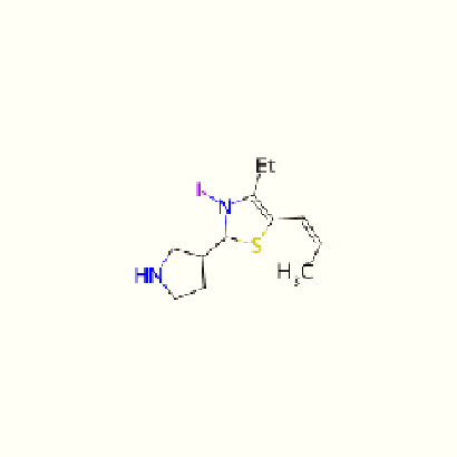 C/C=C\C1=C(CC)N(I)C(C2CCNC2)S1